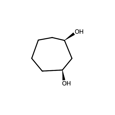 O[C@@H]1CCCC[C@H](O)C1